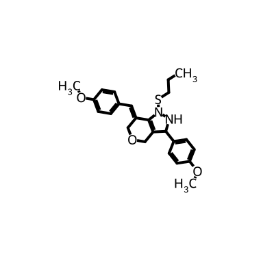 CCCSN1NC(c2ccc(OC)cc2)C2=C1C(=Cc1ccc(OC)cc1)COC2